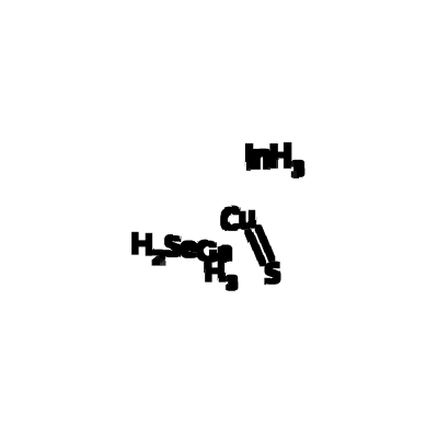 [GaH3].[InH3].[S]=[Cu].[SeH2]